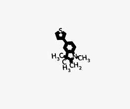 C=C1N(C)c2ccc(-c3ccsc3)cc2C1(C)C